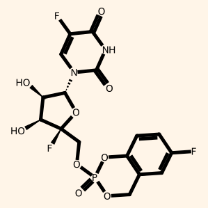 O=c1[nH]c(=O)n([C@@H]2O[C@](F)(COP3(=O)OCc4cc(F)ccc4O3)[C@@H](O)[C@H]2O)cc1F